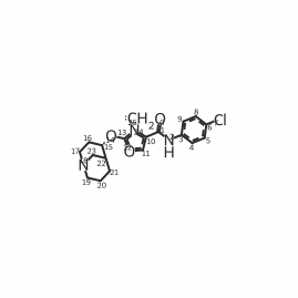 O=C(Nc1ccc(Cl)cc1)c1coc(O[C@H]2CCN3CCCC2C3)n1.[CH2]